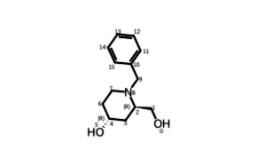 OC[C@H]1C[C@H](O)CCN1Cc1ccccc1